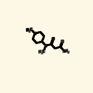 CN1CCC(N(C)C(=O)CC(N)=O)CC1